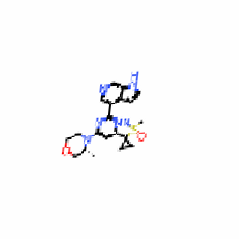 C[C@@H]1COCCN1c1cc(C2(S(C)(=N)=O)CC2)nc(-c2cncc3[nH]ccc23)n1